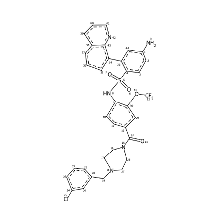 Nc1ccc(S(=O)(=O)Nc2ccc(C(=O)N3CCN(Cc4cccc(Cl)c4)CC3)cc2OC(F)(F)F)c(-c2cccc3cccnc23)c1